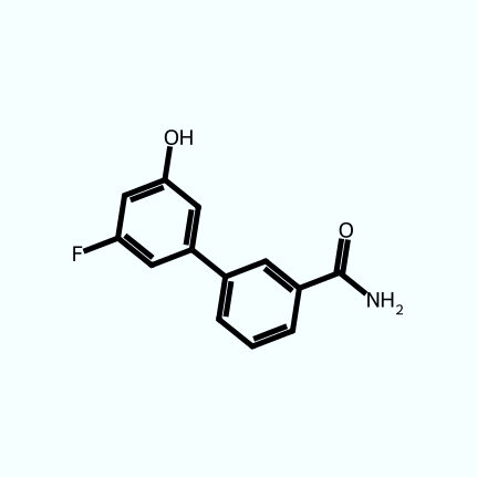 NC(=O)c1cccc(-c2cc(O)cc(F)c2)c1